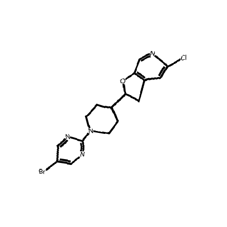 Clc1cc2c(cn1)OC(C1CCN(c3ncc(Br)cn3)CC1)C2